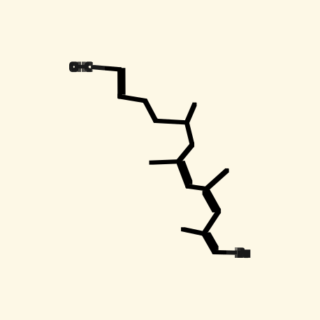 CCC(C)C=C(C)C=C(C)C=C(C)CC(C)CCC=CC=O